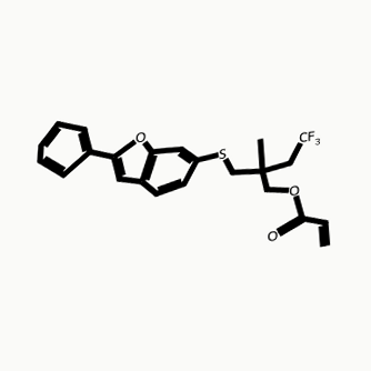 C=CC(=O)OCC(C)(CSc1ccc2cc(-c3ccccc3)oc2c1)CC(F)(F)F